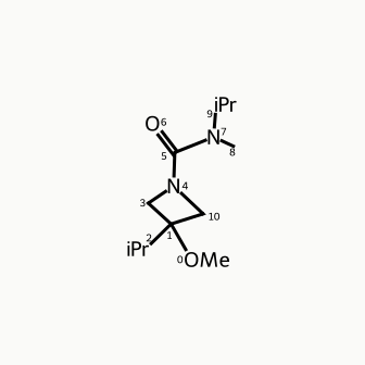 COC1(C(C)C)CN(C(=O)N(C)C(C)C)C1